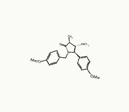 COc1ccc(CN2C(=O)[C@@H](C)[C@H]([N+](=O)[O-])[C@H]2c2ccc(OC)cc2)cc1